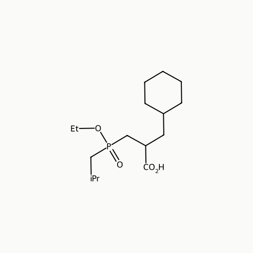 CCOP(=O)(CC(C)C)CC(CC1CCCCC1)C(=O)O